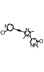 Cc1nc(C#Cc2ccnc(Cl)c2)c(C)n1-c1cnn(C)c(=O)c1